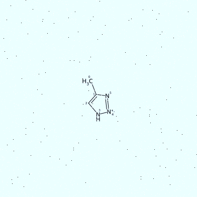 CC1=CN[N+]=N1